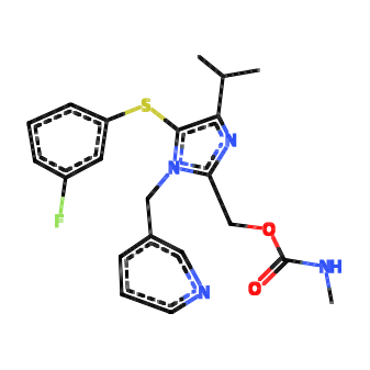 CNC(=O)OCc1nc(C(C)C)c(Sc2cccc(F)c2)n1Cc1cccnc1